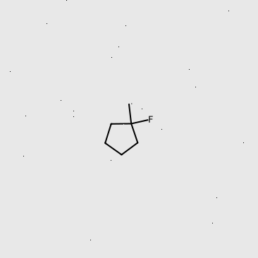 [CH2]C1(F)CCCC1